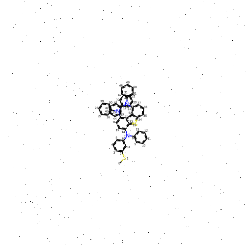 CSc1cccc(N(c2ccccc2)c2ccc(N(c3ccccc3)c3ccccc3)c3c2sc2cccc(N(c4ccccc4)c4ccccc4)c23)c1